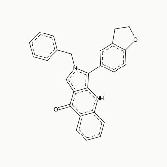 O=c1c2ccccc2[nH]c2c(-c3ccc4c(c3)CCO4)n(Cc3ccccc3)cc12